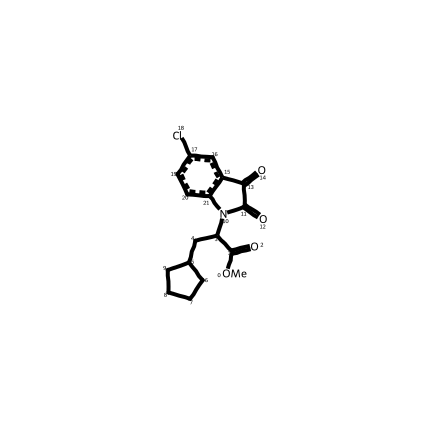 COC(=O)C(CC1CCCC1)N1C(=O)C(=O)c2cc(Cl)ccc21